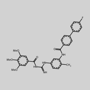 COc1cc(C(=O)NC(=N)Nc2ccc(C)c(NC(=O)c3ccc(-c4ccc(F)cc4)cc3)c2)cc(OC)c1OC